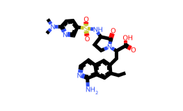 CCc1cc2c(N)nccc2cc1CC(C(=O)O)N1CCC(NS(=O)(=O)c2ccc(N(C)C)nc2)C1=O